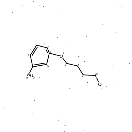 Nc1cccc(OCCCC[O])c1